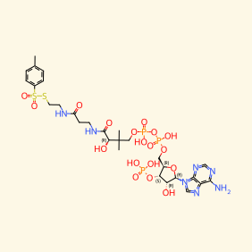 Cc1ccc(S(=O)(=O)SCCNC(=O)CCNC(=O)[C@H](O)C(C)(C)COP(=O)(O)OP(=O)(O)OC[C@H]2O[C@@H](n3cnc4c(N)ncnc43)[C@H](O)[C@@H]2OP(=O)(O)O)cc1